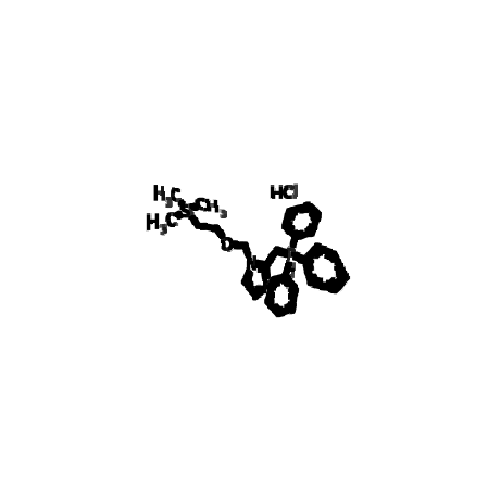 C[Si](C)(C)CCOCn1ccnc1C[PH](c1ccccc1)(c1ccccc1)c1ccccc1.Cl